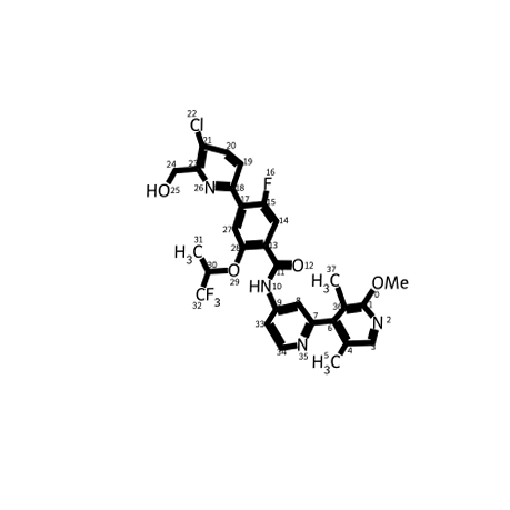 COc1ncc(C)c(-c2cc(NC(=O)c3cc(F)c(-c4ccc(Cl)c(CO)n4)cc3OC(C)C(F)(F)F)ccn2)c1C